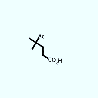 [CH2]C(C)(CCC(=O)O)C(C)=O